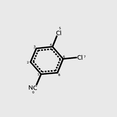 N#Cc1c[c]c(Cl)c(Cl)c1